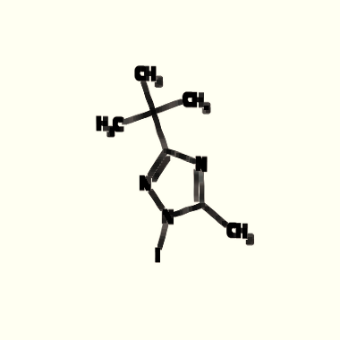 Cc1nc(C(C)(C)C)nn1I